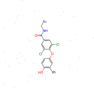 CC(=O)CNC(=O)c1cc(Cl)c(Oc2ccc(O)c(C(C)C)c2)c(Cl)c1